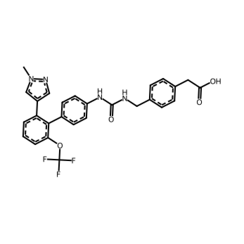 Cn1cc(-c2cccc(OC(F)(F)F)c2-c2ccc(NC(=O)NCc3ccc(CC(=O)O)cc3)cc2)cn1